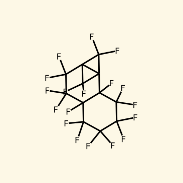 FC1(F)C(F)(F)C(F)(F)C2(F)C(F)(C1(F)F)C(F)(F)C(F)(F)C13C(F)(F)C21C3(F)F